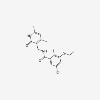 CCSc1cc(Cl)cc(C(=O)NCc2c(C)cc(C)[nH]c2=O)c1C